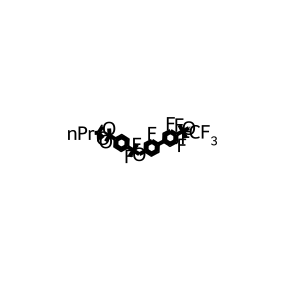 CCCC12COC(c3ccc(C(F)(F)Oc4ccc(-c5cc(F)c(C(F)(F)OC(F)(F)F)c(F)c5)c(F)c4)cc3)(OC1)O2